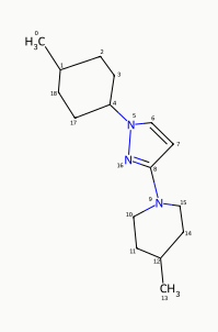 CC1CCC(n2ccc(N3CCC(C)CC3)n2)CC1